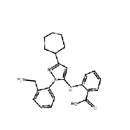 NCc1ccccc1-n1nc(C2CCCCC2)cc1Nc1ccccc1C(=O)O